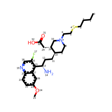 CCCCSCCN1CC[C@@H](CC[C@H](N)c2c(F)cnc3ccc(OC)cc23)[C@H](CC(=O)O)C1